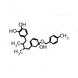 Cc1ccc(COC2(O)C=CC=C(CC(C)C(C)Cc3ccc(O)c(O)c3)C2)cc1